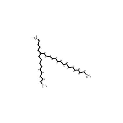 [CH2]CCCCC(CCCCCCCCCC)CCCCCCCCCCCCCCCC